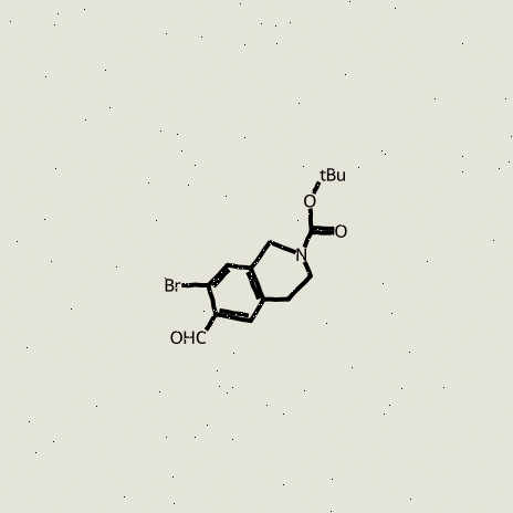 CC(C)(C)OC(=O)N1CCc2cc(C=O)c(Br)cc2C1